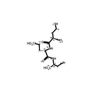 CC(C)C[C@H](NC(=O)[C@H](CCC(=O)O)NC(=O)[C@H](N)CCS)C(=O)O